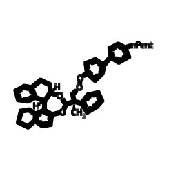 CCCCCc1ccc(-c2ccc(OOC[C@@](C)(c3ccccc3)C3Oc4ccc5c(c4[C@H]4c6ccccc6CC[C@H]4O3)CCCC5)cc2)cc1